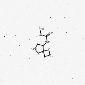 CC(C)(C)OC(=O)NC1CNCC12COC2